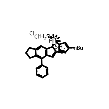 CCCCC1=C[CH]([Hf-6]([CH3])([CH3])([CH3])([CH3])(=[SiH2])(=[SiH2])[CH]2C(C)=Cc3c2cc2c(c3-c3ccccc3)CCC2)C=C1.[Cl-].[Cl-]